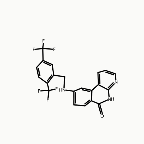 O=c1[nH]c2ncccc2c2cc(NCc3cc(C(F)(F)F)ccc3C(F)(F)F)ccc12